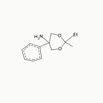 CCC1(C)OCC(N)(c2ccccc2)CO1